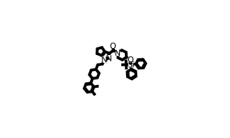 Cc1cccc(C2CCC(CCn3nc(C(=O)N4CCC(O[Si](c5ccccc5)(c5ccccc5)C(C)(C)C)CC4)c4c3CCC4)CC2)c1C